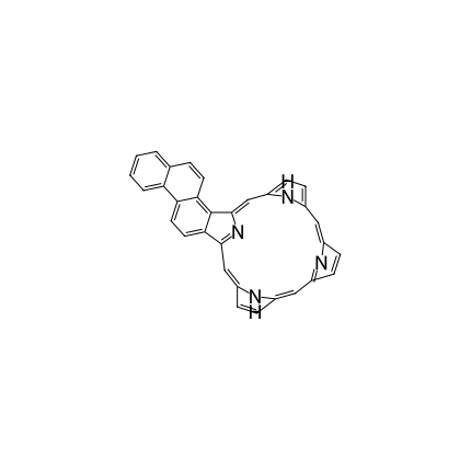 C1=Cc2cc3ccc(cc4nc(cc5ccc(cc1n2)[nH]5)-c1ccc2c(ccc5ccccc52)c1-4)[nH]3